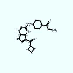 C=CC(=O)N1CCC(Nc2cnc3[nH]cc(C(=O)C4CCC4)c3n2)CC1